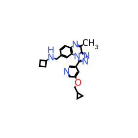 Cc1nc2ccc(CNC3CCC3)cc2n2c(-c3cncc(OCC4CC4)c3)nnc12